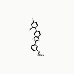 CCCCCCOc1cccc(-c2nc3ccc(-c4ccc(F)cc4F)cc3o2)c1